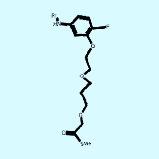 CSC(=O)COCCCOCCOc1cc(NC(C)C)ccc1F